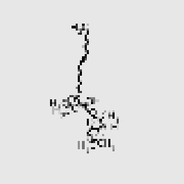 CCCCCCC#CCCCCCC[C@H]1OC(C)(C)O[C@H]1[C@@H](O)COC1OC2COC(C)(C)OC2C(C)C1C